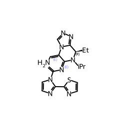 C=C(/N=C1\C(=C/N)n2cnnc2[C@@H](CC)N1C(C)C)n1ccnc1-c1nccs1